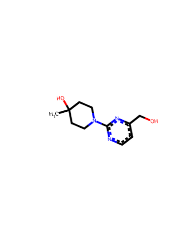 CC1(O)CCN(c2nccc(CO)n2)CC1